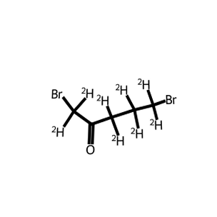 [2H]C([2H])(Br)C(=O)C([2H])([2H])C([2H])([2H])C([2H])([2H])Br